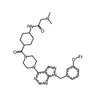 CCOc1cccc(Cn2ncc3c(N4CCN(C(=O)C5CCC(NC(=O)CN(C)C)CC5)CC4)ncnc32)c1